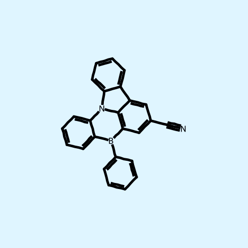 N#Cc1cc2c3c(c1)c1ccccc1n3-c1ccccc1B2c1ccccc1